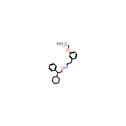 O=C(O)COc1cccc(C/C=N/OCC(c2ccccc2)C2CCCCC2)c1